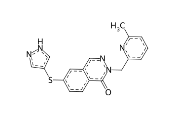 Cc1cccc(Cn2ncc3cc(Sc4cn[nH]c4)ccc3c2=O)n1